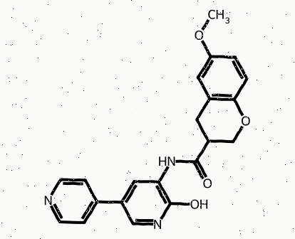 COc1ccc2c(c1)CC(C(=O)Nc1cc(-c3ccncc3)cnc1O)CO2